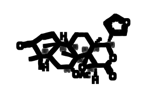 CC(=O)O[C@@H]1C[C@H]2C(C)(C)C(=O)C=C[C@]2(C)[C@H]2CC[C@@]3(C)[C@H](c4ccoc4)OC(=O)[C@H]4O[C@]43[C@@]21C